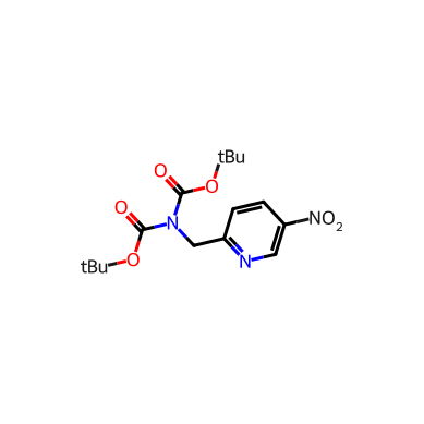 CC(C)(C)OC(=O)N(Cc1ccc([N+](=O)[O-])cn1)C(=O)OC(C)(C)C